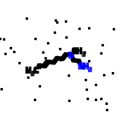 C=CC=CCCCCN(C)CCN